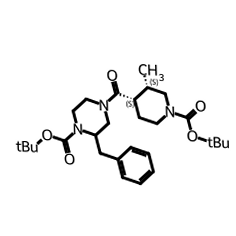 C[C@@H]1CN(C(=O)OC(C)(C)C)CC[C@@H]1C(=O)N1CCN(C(=O)OC(C)(C)C)C(Cc2ccccc2)C1